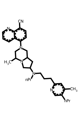 CCCc1cnc(CCCN(CCC)C2CC3CN(c4ccc(C#N)c5ncccc45)CC(C)N3C2)cc1C